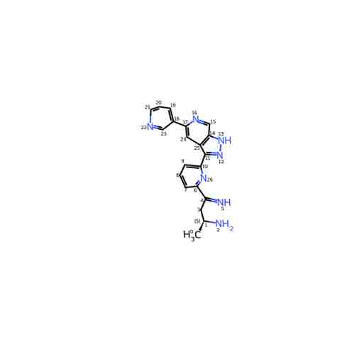 C[C@H](N)CC(=N)c1cccc(-c2n[nH]c3cnc(-c4cccnc4)cc23)n1